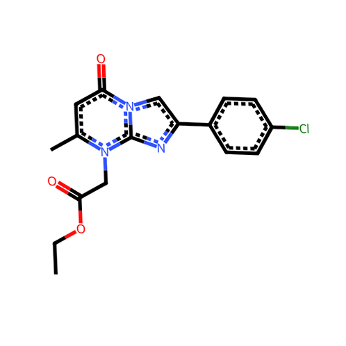 CCOC(=O)Cn1c(C)cc(=O)n2cc(-c3ccc(Cl)cc3)nc12